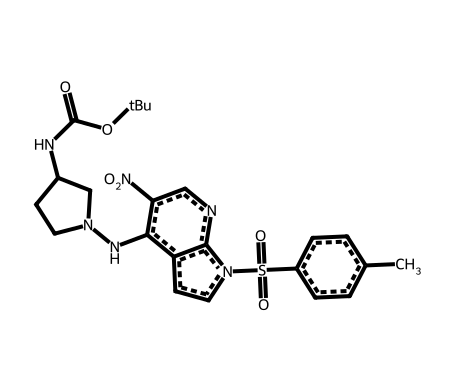 Cc1ccc(S(=O)(=O)n2ccc3c(NN4CCC(NC(=O)OC(C)(C)C)C4)c([N+](=O)[O-])cnc32)cc1